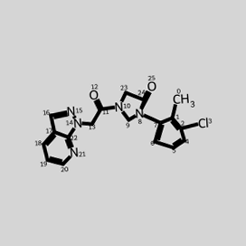 Cc1c(Cl)cccc1N1CN(C(=O)Cn2ncc3cccnc32)CC1=O